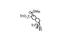 CCOC(=O)C1CC2CC(=CP(=O)(OCC)OCC)CCC2CN1C(=O)OC